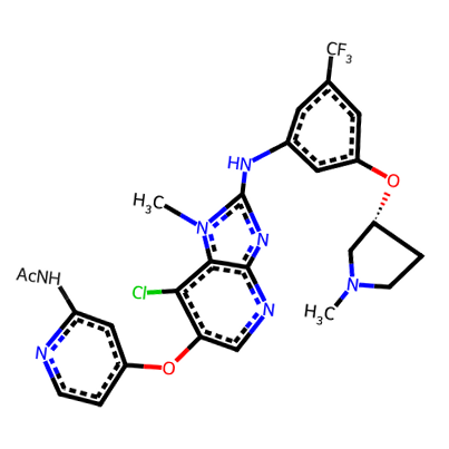 CC(=O)Nc1cc(Oc2cnc3nc(Nc4cc(O[C@@H]5CCN(C)C5)cc(C(F)(F)F)c4)n(C)c3c2Cl)ccn1